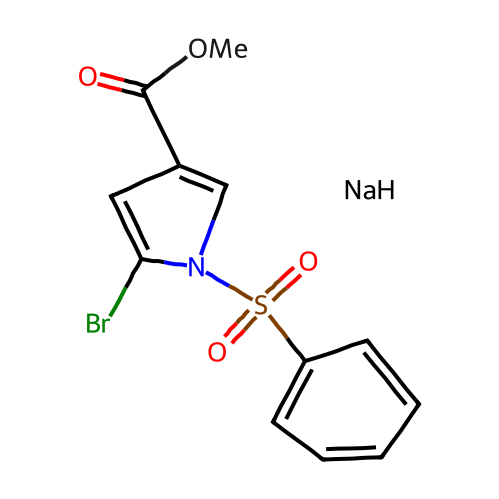 COC(=O)c1cc(Br)n(S(=O)(=O)c2ccccc2)c1.[NaH]